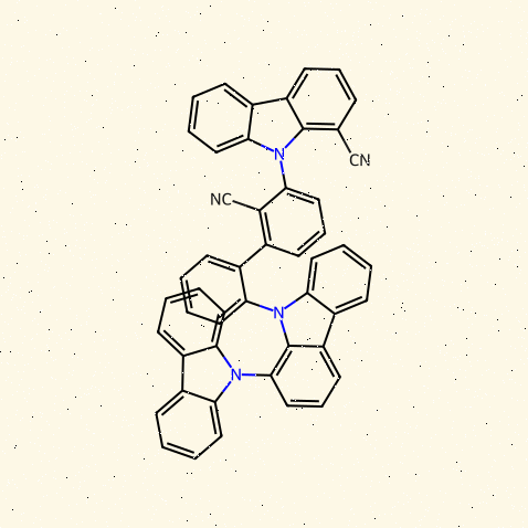 N#Cc1c(-c2ccccc2-n2c3ccccc3c3cccc(-n4c5ccccc5c5ccccc54)c32)cccc1-n1c2ccccc2c2cccc(C#N)c21